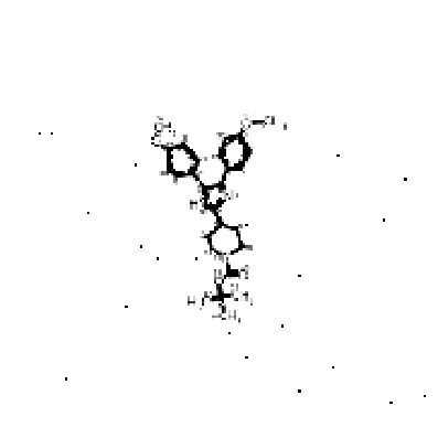 COc1ccc(-c2nc(C3CCN(C(=O)OC(C)(C)C)CC3)[nH]c2-c2ccc(OC)cc2)cc1